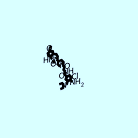 CCN(CC)Cc1cc(C(=O)NCC(=O)N2CCC(N3CCc4cc(OC)ccc4NC3=O)CC2)cc(Cl)c1N